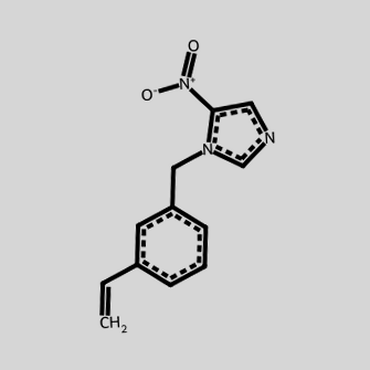 C=Cc1cccc(Cn2cncc2[N+](=O)[O-])c1